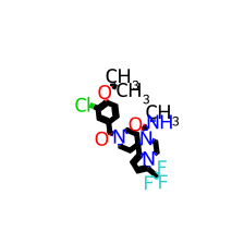 CNC(=O)N1CCn2c(C(F)(F)F)ccc2C12CCN(C(=O)c1ccc(OC(C)C)c(Cl)c1)CC2